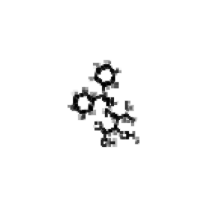 CC(C(=O)O)C(=NN=C(c1ccccc1)c1ccccc1)C(F)F